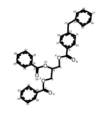 O=C(OCC(COC(=O)c1ccc(Cc2ccccc2)cc1)OC(=O)c1ccccc1)c1ccccc1